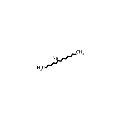 CCCCCCCC[CH]([Na])CCCCCC